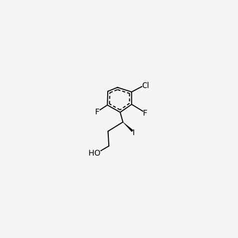 OCC[C@H](I)c1c(F)ccc(Cl)c1F